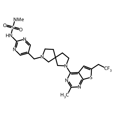 CNS(=O)(=O)Nc1ncc(CN2CCC3(CCN(c4nc(C)nc5sc(CC(F)(F)F)cc45)C3)C2)cn1